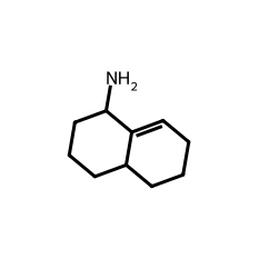 NC1CCCC2CCCC=C12